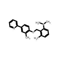 Cc1cc(-c2ccccn2)ccc1OCc1c(C)cccc1N(C)N